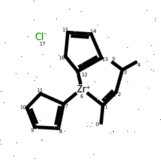 C/[C](=C/C(C)C)[Zr+]([C]1=CC=CC1)[C]1=CC=CC1.[Cl-]